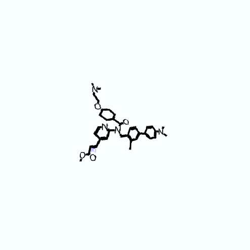 COC(=O)/C=C/c1ccnc(N(Cc2ccc(-c3ccc(N(C)C)cc3)cc2C)C(=O)C2CCC(OCCN(C)C)CC2)c1